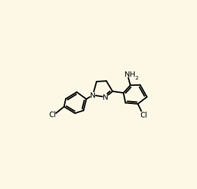 Nc1ccc(Cl)cc1C1=NN(c2ccc(Cl)cc2)CC1